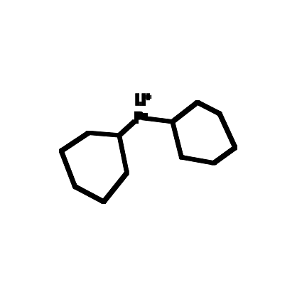 C1CCC([P-]C2CCCCC2)CC1.[Li+]